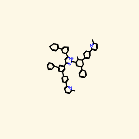 Cc1cccc(C2=CCC(c3cc(C4=NC(C5=CC(c6ccccc6)CC(C6=CC=C(c7cccc(C)n7)CC6)C5C)NC(C5C=CC=C(C6=CCCC=C6)C5)=C4)cc(-c4ccccc4)c3)C=C2)n1